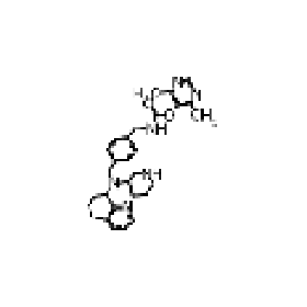 Cc1ncnc(C)c1OC(=O)NCc1ccc(CN(C2CCCNC2)C2CCCc3cccnc32)cc1